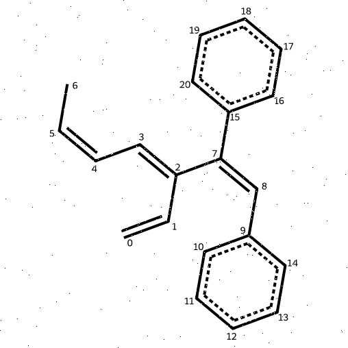 C=CC(=C\C=C/C)/C(=C\c1ccccc1)c1ccccc1